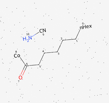 CCCCCCCCCCC[C](=O)[Co].N#CN